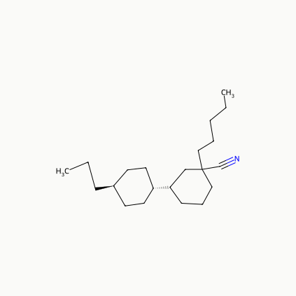 CCCCCC1(C#N)CCCC([C@H]2CC[C@H](CCC)CC2)C1